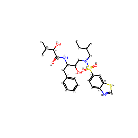 CCC(C)CN(CC(O)C(Cc1ccccc1)NC(=O)C(O)C(C)C)S(=O)(=O)c1ccc2ncsc2c1